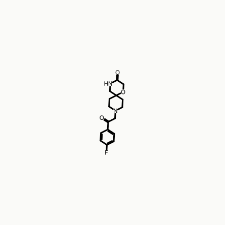 O=C1COC2(CCN(CC(=O)c3ccc(F)cc3)CC2)CN1